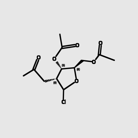 CC(=O)C[C@H]1C(Cl)O[C@H](COC(C)=O)[C@H]1OC(C)=O